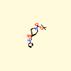 CC(C)(C)OC(=O)N1CCCC(O)(CNc2ccccc2)CC1